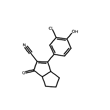 N#CC1=C(c2ccc(O)c(Cl)c2)C2CCCC2C1=O